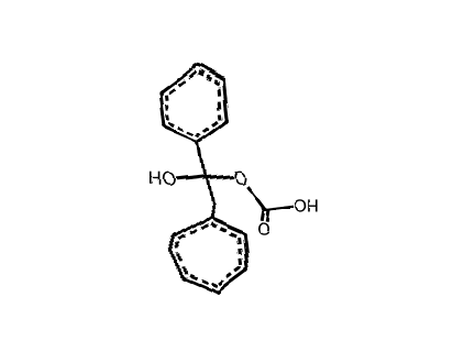 O=C(O)OC(O)(c1ccccc1)c1ccccc1